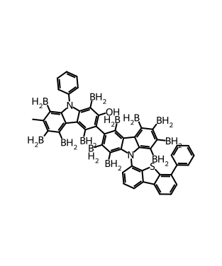 Bc1c(C)c(B)c2c(c1B)c1c(B)c(-c3c(B)c(B)c4c(c3B)c3c(B)c(B)c(B)c(B)c3n4-c3cccc4c3sc3c(-c5ccccc5)cccc34)c(O)c(B)c1n2-c1ccccc1